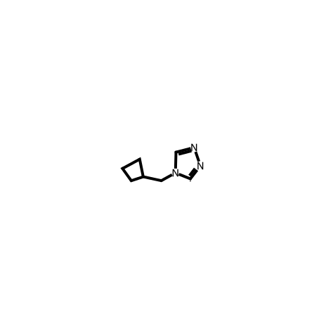 [c]1nncn1CC1CCC1